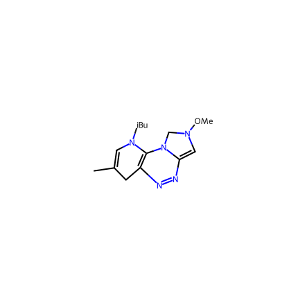 CCC(C)N1C=C(C)CC2=C1N1CN(OC)C=C1N=N2